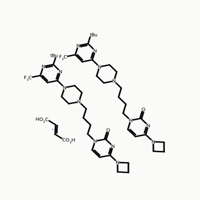 CC(C)(C)c1nc(N2CCN(CCCCn3ccc(N4CCC4)nc3=O)CC2)cc(C(F)(F)F)n1.CC(C)(C)c1nc(N2CCN(CCCCn3ccc(N4CCC4)nc3=O)CC2)cc(C(F)(F)F)n1.O=C(O)/C=C/C(=O)O